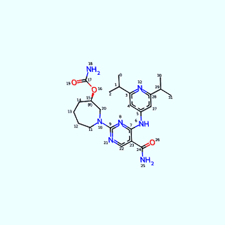 CC(C)c1cc(Nc2nc(N3CCCC[C@@H](OC(N)=O)C3)ncc2C(N)=O)cc(C(C)C)n1